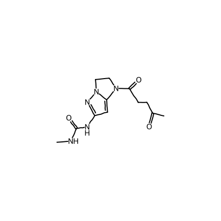 CNC(=O)Nc1cc2n(n1)CCN2C(=O)CCC(C)=O